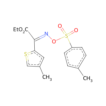 CCOC(=O)C(=NOS(=O)(=O)c1ccc(C)cc1)c1cc(C)cs1